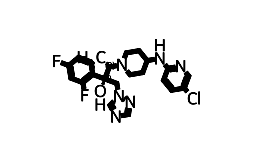 C[C@@H](N1CCC(Nc2ccc(Cl)cn2)CC1)[C@](O)(Cn1cncn1)c1ccc(F)cc1F